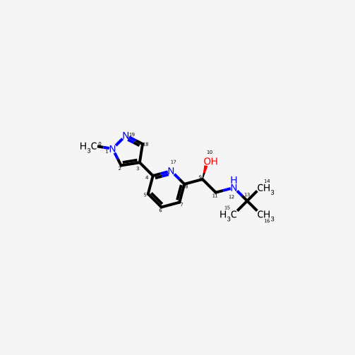 Cn1cc(-c2cccc([C@@H](O)CNC(C)(C)C)n2)cn1